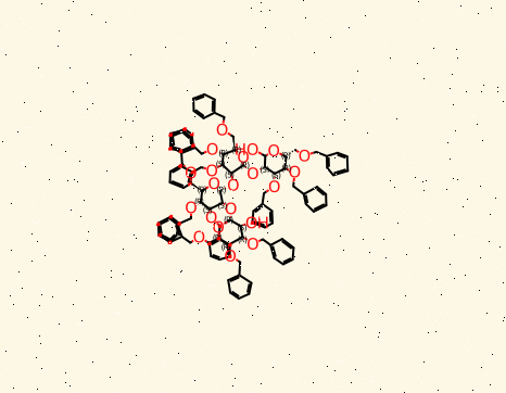 OC1O[C@H](COCc2ccccc2)[C@@H](OCc2ccccc2)[C@H](OCc2ccccc2)[C@@H]1O[C@H]1O[C@H](COCc2ccccc2)[C@@H](OCc2ccccc2)[C@H](OCc2ccccc2)[C@@H]1O[C@H]1O[C@H](COCc2ccccc2)[C@@H](OCc2ccccc2)[C@H](OCc2ccccc2)[C@@H]1O[C@H]1O[C@H](COCc2ccccc2)[C@@H](OCc2ccccc2)[C@H](OCc2ccccc2)[C@@H]1O